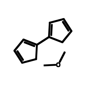 C1=CCC(C2=CC=CC2)=C1.COC